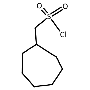 O=S(=O)(Cl)CC1CCCCCC1